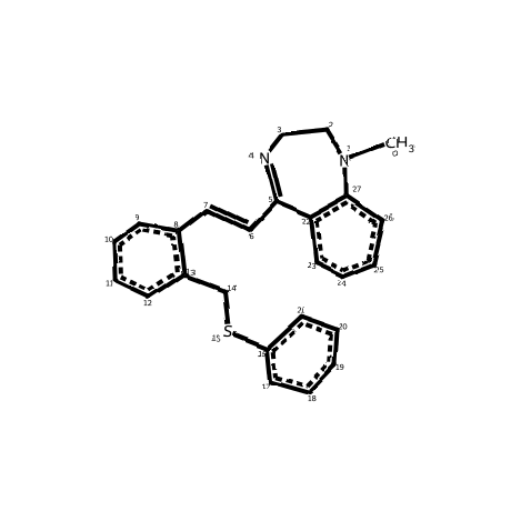 CN1CCN=C(/C=C/c2ccccc2CSc2ccccc2)c2ccccc21